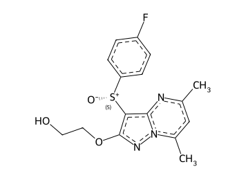 Cc1cc(C)n2nc(OCCO)c([S@+]([O-])c3ccc(F)cc3)c2n1